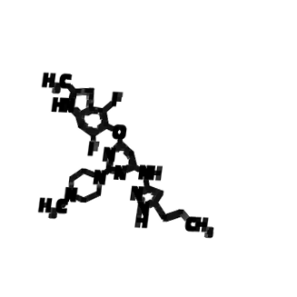 C/C=C/c1cc(Nc2cc(Oc3c(F)cc4[nH]c(C)cc4c3F)nc(N3CCN(C)CC3)n2)n[nH]1